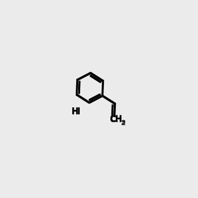 C=Cc1ccccc1.I